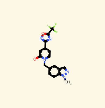 Cn1ncc2cc(Cn3ccc(-c4noc(C(F)(F)F)n4)cc3=O)ccc21